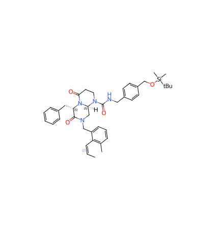 C/C=C\c1c(C)cccc1CN1C[C@@H]2N(C(=O)NCc3ccc(CO[Si](C)(C)C(C)(C)C)cc3)CCC(=O)N2[C@@H](Cc2ccccc2)C1=O